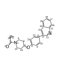 CC(C)C(=O)N1CCC(Oc2ccc(-c3cnc4ccccc4c3)cc2)CC1